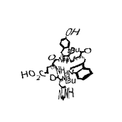 CC(C)(C)N[C@@H](Cc1c[nH]cn1)C(=O)N[C@@H](CCC(=O)O)C(=O)N[C@@H](Cc1ccc(O)cc1)C(=O)N[C@@H](Cc1c[nH]c2ccccc12)C(=O)C(C)(C)C